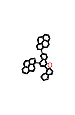 c1ccc2c(c1)ccc1oc3c4ccc(-c5ccc6ccc7cccc8ccc5c6c78)cc4c(-c4ccc5ccc6cccc7ccc4c5c67)cc3c12